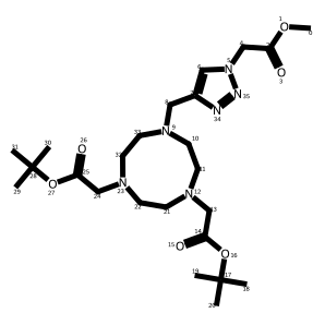 COC(=O)Cn1cc(CN2CCN(CC(=O)OC(C)(C)C)CCN(CC(=O)OC(C)(C)C)CC2)nn1